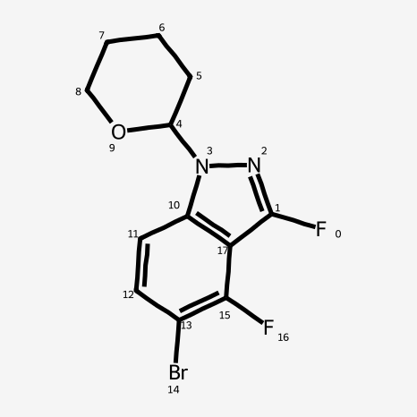 Fc1nn(C2CCCCO2)c2ccc(Br)c(F)c12